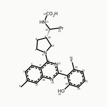 Cc1ccc2c(N3CC[C@H](C(NC(=O)O)C(C)C)C3)nc(-c3c(O)cccc3F)nc2c1